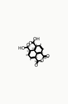 O=C(O)c1ccc2c3c(ccc(C(=O)O)c13)C(=O)OC2=O